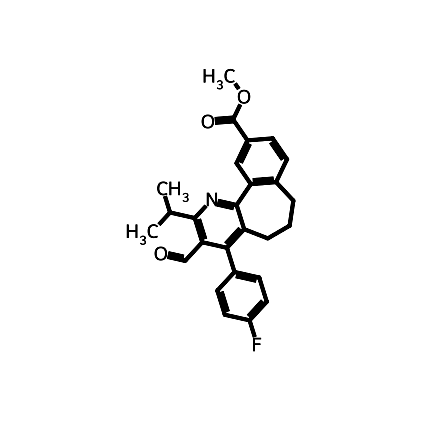 COC(=O)c1ccc2c(c1)-c1nc(C(C)C)c(C=O)c(-c3ccc(F)cc3)c1CCC2